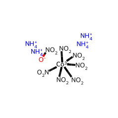 O=[N+]([O-])[Co-3]([N+](=O)[O-])([N+](=O)[O-])([N+](=O)[O-])([N+](=O)[O-])[N+](=O)[O-].O=[N+]([O-])[O-].[NH4+].[NH4+].[NH4+].[NH4+]